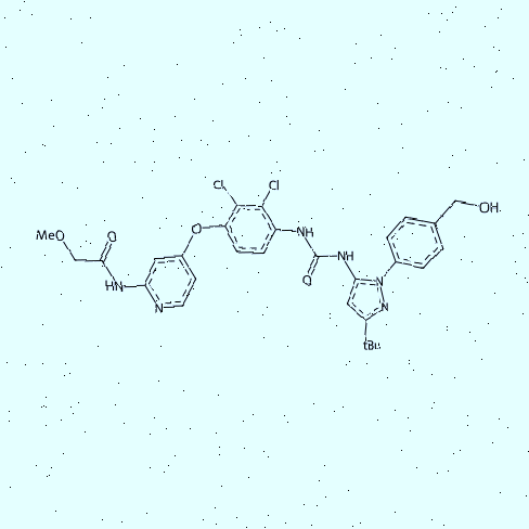 COCC(=O)Nc1cc(Oc2ccc(NC(=O)Nc3cc(C(C)(C)C)nn3-c3ccc(CO)cc3)c(Cl)c2Cl)ccn1